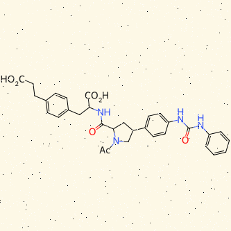 CC(=O)N1CC(c2ccc(NC(=O)Nc3ccccc3)cc2)CC1C(=O)NC(Cc1ccc(CCC(=O)O)cc1)C(=O)O